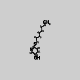 CCCCCCCCSc1ccc(O)cn1